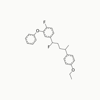 CCOc1ccc(C(C)CCC(F)c2ccc(F)c(Oc3ccccc3)c2)cc1